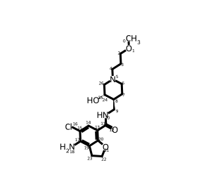 COCCCN1CC[C@@H](CNC(=O)c2cc(Cl)c(N)c3c2OCC3)[C@H](O)C1